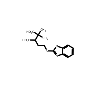 CC(C)(C(=O)O)C(CCSc1nc2ccccc2o1)C(=O)O